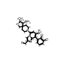 C[C@@H]1OCC2(CCN(c3cc(N)c(-c4cccc(Cl)c4Cl)c4nc(CF)cn34)CC2)[C@@H]1N